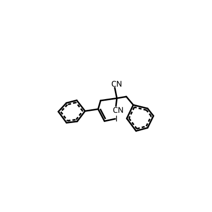 N#CC(C#N)(C/C(=C\I)c1ccccc1)Cc1ccccc1